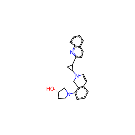 O[C@H]1CCN(c2cccc3c2CN(C2CC2c2ccc4ccccc4n2)C=C3)C1